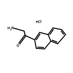 Cl.NCC(=O)c1ccc2ccccc2c1